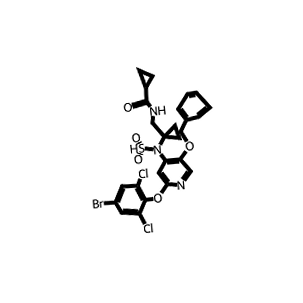 O=C(NCC1(N(c2cc(Oc3c(Cl)cc(Br)cc3Cl)ncc2OCc2ccccc2)[SH](=O)=O)CC1)C1CC1